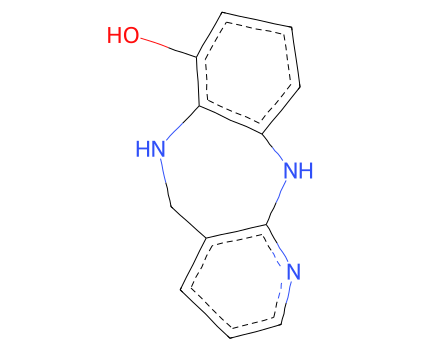 Oc1cccc2c1NCc1cccnc1N2